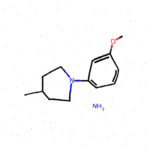 COc1cccc(N2CCC(C)CC2)c1.N